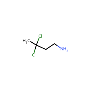 CC(Cl)(Cl)CCN